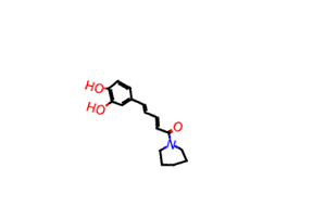 O=C(C=CC=Cc1ccc(O)c(O)c1)N1CCCCC1